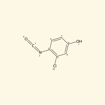 O=C=Nc1ccc(O)cc1Cl